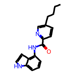 CCCCc1ccc(C(=O)Nc2cccc3[nH]ccc23)nc1